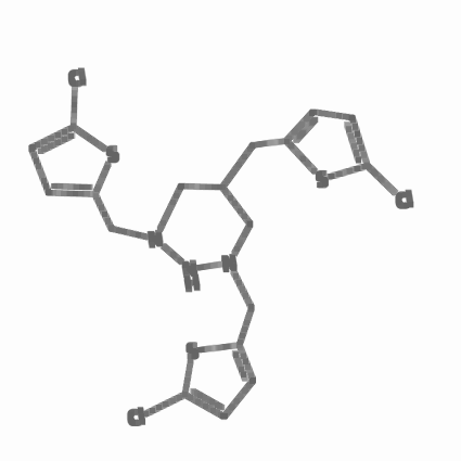 Clc1ccc(CC2CN(Cc3ccc(Cl)s3)NN(Cc3ccc(Cl)s3)C2)s1